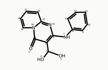 O=c1c(C(O)O)c(Nc2ccccc2)nc2ccccn12